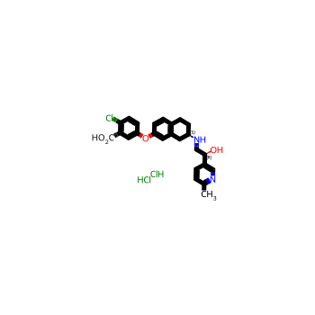 Cc1ccc([C@@H](O)CN[C@H]2CCc3ccc(Oc4ccc(Cl)c(C(=O)O)c4)cc3C2)cn1.Cl.Cl